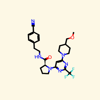 COCC1CCN(c2cc(N3CCC[C@H]3C(=O)NCCc3ccc(C#N)cc3)nc(C(F)(F)F)n2)CC1